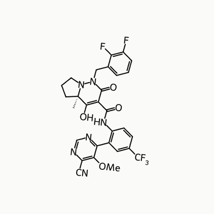 COc1c(C#N)ncnc1-c1cc(C(F)(F)F)ccc1NC(=O)C1=C(O)[C@@]2(C)CCCN2N(Cc2cccc(F)c2F)C1=O